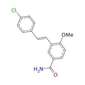 COc1ccc(C(N)=O)cc1/C=C/c1ccc(Cl)cc1